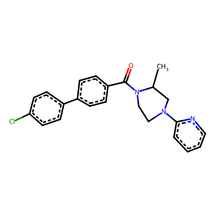 CC1CN(c2ccccn2)CCN1C(=O)c1ccc(-c2ccc(Cl)cc2)cc1